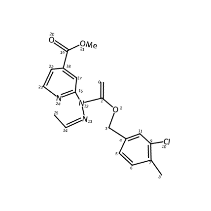 C=C(OCc1ccc(C)c(Cl)c1)N(/N=C\C)c1cc(C(=O)OC)ccn1